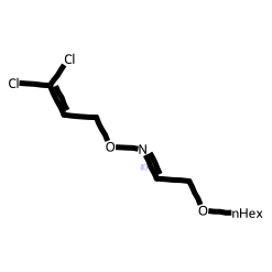 CCCCCCOC/C=N/OCC=C(Cl)Cl